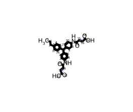 CCCc1ccc(C(C2=CCC(NC(=O)/C=C/C(=O)O)C=C2)c2ccc(NC(=O)/C=C/C(=O)O)cc2)cc1